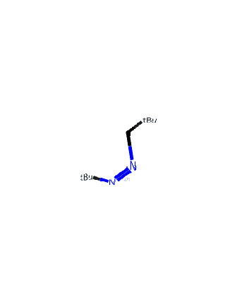 CC(C)(C)C/N=N\C(C)(C)C